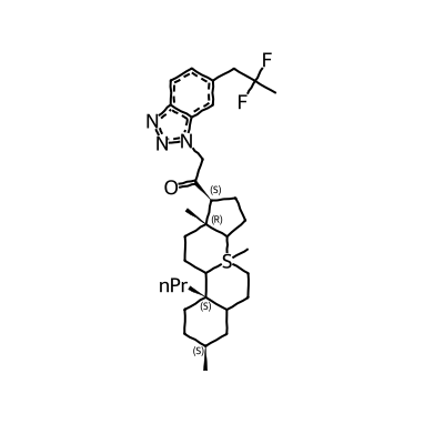 CCC[C@]12CC[C@H](C)CC1CCS1(C)C2CC[C@@]2(C)C1CC[C@@H]2C(=O)Cn1nnc2ccc(CC(C)(F)F)cc21